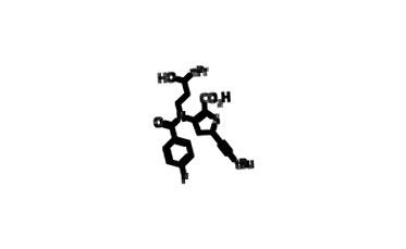 CCCC(O)CCN(C(=O)c1ccc(F)cc1)C1=C(C(=O)O)SC(C#CC(C)(C)C)C1